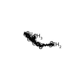 C=CC(=O)OCCCCCCOC(=O)C1CCC(C(=O)Cc2ccc(C(=O)OC3CCC(OCCCC)CC3)c3sc(C)cc23)CC1